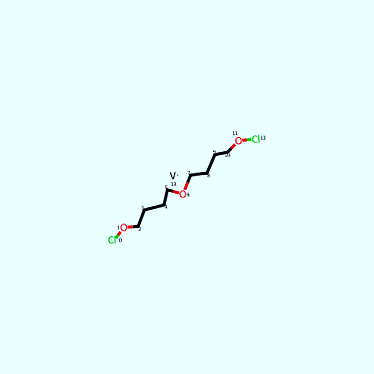 ClOCCCCOCCCCOCl.[V]